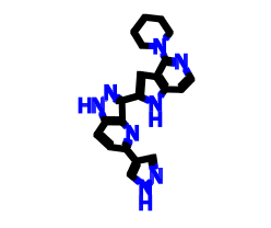 c1cc2[nH]c(-c3n[nH]c4ccc(-c5cn[nH]c5)nc34)cc2c(N2CCCCC2)n1